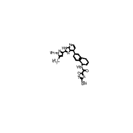 Cc1cc(-c2nc3c(-c4ccc5c(c4)CCCC5NC(=O)c4nc(C(C)(C)C)no4)ccnc3[nH]2)nn1C(C)C